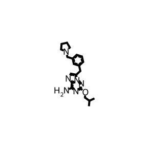 CC(C)COc1nc(N)c2ncc(Cc3cccc(CN4CCCC4)c3)n2n1